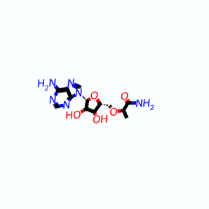 CC(OC[C@H]1O[C@@H](n2cnc3c(N)ncnc32)C(O)C1O)C(N)=O